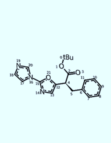 CC(C)(C)OC(=O)[C@@H](Cc1ccccc1)c1cnc(-n2ccnc2)o1